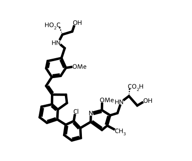 COc1cc(/C=C2\CCc3c2cccc3-c2cccc(-c3cc(C)c(CN[C@@H](CO)C(=O)O)c(OC)n3)c2Cl)ccc1CN[C@@H](CO)C(=O)O